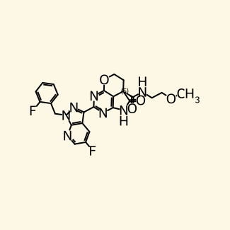 COCCNC(=O)[C@]12CCOc3nc(-c4nn(Cc5ccccc5F)c5ncc(F)cc45)nc(c31)NC2=O